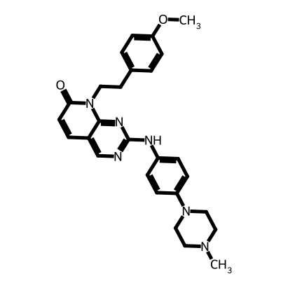 COc1ccc(CCn2c(=O)ccc3cnc(Nc4ccc(N5CCN(C)CC5)cc4)nc32)cc1